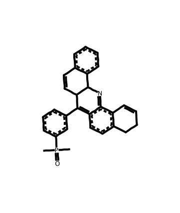 CP(C)(=O)c1cccc(C2=c3ccc4c(c3=NC3c5ccccc5C=CC23)C=CCC4)c1